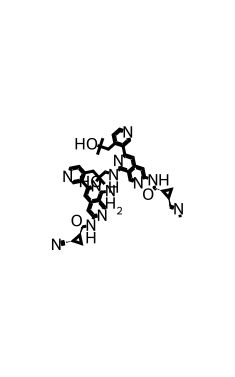 C/N=C/[C@@H]1C[C@H]1C(=O)Nc1cc2cc(-c3cnccc3CC(C)(C)O)nc(NCC(C)(O)Cc3ccncc3-c3cc4cc(NC(=O)[C@H]5C[C@@H]5C#N)ncc4c(N)n3)c2cn1